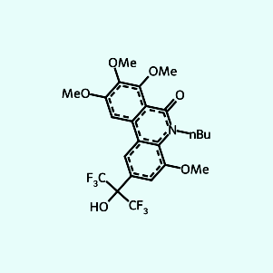 CCCCn1c(=O)c2c(OC)c(OC)c(OC)cc2c2cc(C(O)(C(F)(F)F)C(F)(F)F)cc(OC)c21